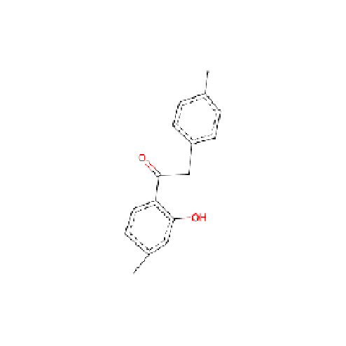 Cc1ccc(CC(=O)c2ccc(C)cc2O)cc1